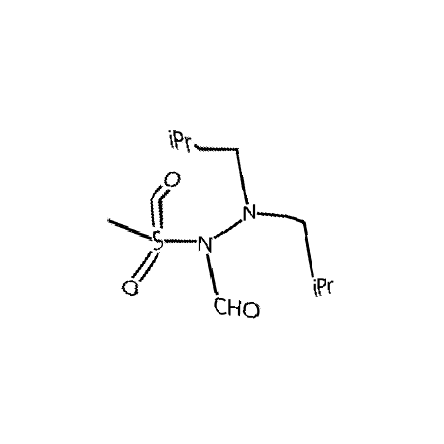 CC(C)CN(CC(C)C)N(C=O)S(C)(=O)=O